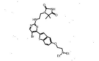 CCN(CC)CCOc1ccc2sc(-c3nc(NCCN4C(=O)NC(=O)C4(C)C)ncc3Br)cc2c1